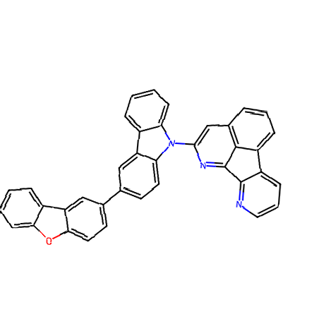 c1cnc2c(c1)-c1cccc3cc(-n4c5ccccc5c5cc(-c6ccc7oc8ccccc8c7c6)ccc54)nc-2c13